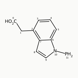 O=C(O)Cc1cccc2c1ccn2P